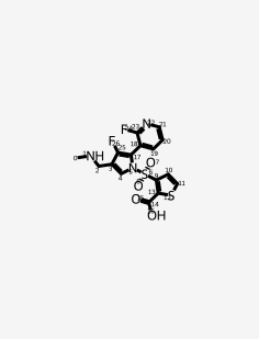 CNCc1cn(S(=O)(=O)c2ccsc2C(=O)O)c(-c2cccnc2F)c1F